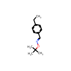 CCc1ccc(/[C]=N/OC(C)(C)C)cc1